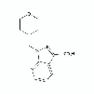 O=C(O)c1nn(CC2CCOCC2)c2ncccc12